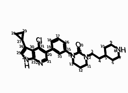 O=C1N(CCC2CCNCC2)CCCN1c1cccc(-c2cnc3[nH]cc(C4CC4)c3c2Cl)c1